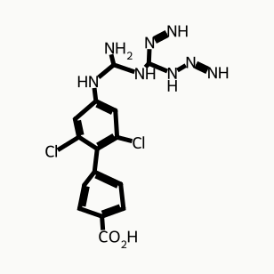 N=NNC(N=N)NC(N)Nc1cc(Cl)c(-c2ccc(C(=O)O)cc2)c(Cl)c1